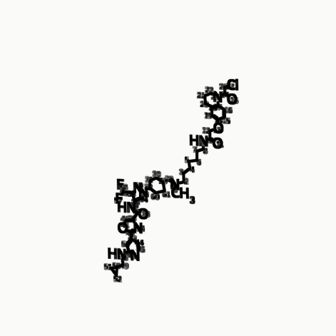 CN(CCCCCCCNC(=O)COc1ccc2c(c1)CCCN2C(=O)CCl)C[C@H]1CC[C@H](n2cc(NC(=O)c3coc(-c4ccnc(NCC5CC5)c4)n3)c(C(F)F)n2)CC1